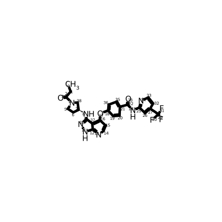 CCC(=O)N1CC[C@@H](Nc2n[nH]c3nccc(Oc4ccc(C(=O)Nc5cc(C(F)(F)F)ccn5)cc4)c23)C1